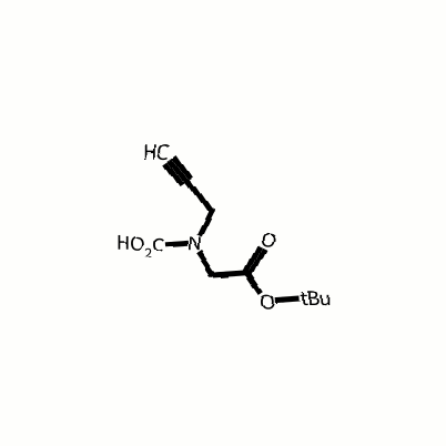 C#CCN(CC(=O)OC(C)(C)C)C(=O)O